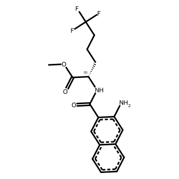 COC(=O)[C@H](CCCC(F)(F)F)NC(=O)c1cc2ccccc2cc1N